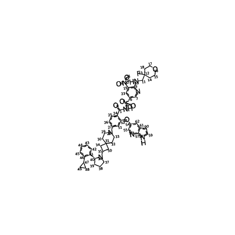 O=C(NS(=O)(=O)c1cnc(NCC2(F)CCOCC2)c([N+](=O)[O-])c1)c1ccc(N2CCC3(CC2)CC(N2CCC[C@H]2c2ccccc2C2CC2)C3)cc1Oc1cnc2[nH]ccc2c1